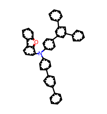 c1ccc(-c2ccc(-c3ccc(N(c4ccc(-c5cc(-c6ccccc6)cc(-c6ccccc6)c5)cc4)c4cccc5c4oc4ccccc45)cc3)cc2)cc1